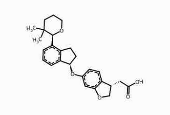 CC1(C)CCCO[C@H]1c1cccc2c1CC[C@H]2Oc1ccc2c(c1)OC[C@H]2CC(=O)O